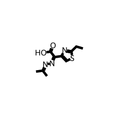 CCc1nc(C(=NN=C(C)C)C(=O)O)cs1